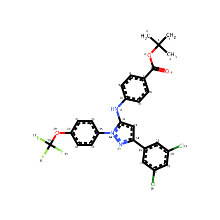 CC(C)(C)OC(=O)c1ccc(Nc2cc(-c3cc(Cl)cc(Cl)c3)nn2-c2ccc(OC(F)(F)F)cc2)cc1